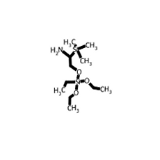 CCO[Si](CC)(OCC)OCC(N)[Si](C)(C)C